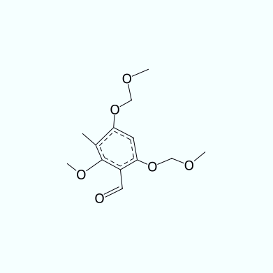 COCOc1cc(OCOC)c(C=O)c(OC)c1C